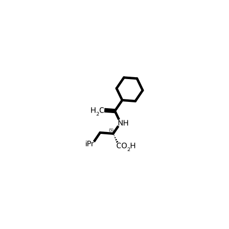 C=C(N[C@@H](CC(C)C)C(=O)O)C1CCCCC1